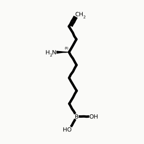 C=CC[C@H](N)CCCCB(O)O